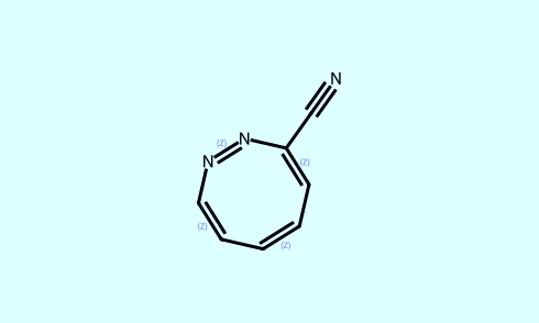 N#CC1=C/C=C\C=C/N=N\1